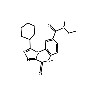 CCN(C)C(=O)c1ccc2[nH]c(=O)c3nnc(C4CCCCC4)n3c2c1